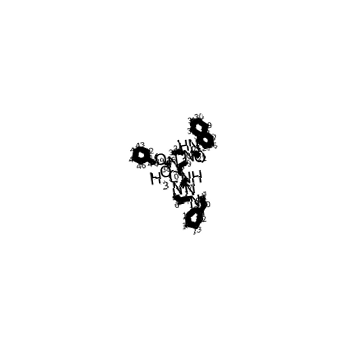 CC(Nc1nccc(-n2ccc3ccccc32)n1)C1CN(C(=O)Nc2cccc3ccccc23)CCN1C(=O)OCc1ccccc1